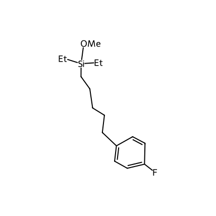 CC[Si](CC)(CCCCCc1ccc(F)cc1)OC